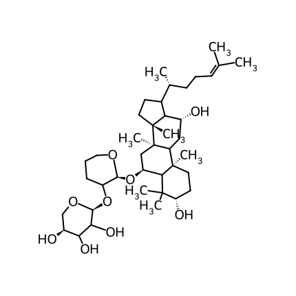 CC(C)=CCC[C@@H](C)C1CC[C@]2(C)C1[C@H](O)CC1[C@@]3(C)CC[C@H](O)C(C)(C)C3[C@@H](O[C@@H]3OCCCC3O[C@@H]3OC[C@H](O)C(O)C3O)C[C@]12C